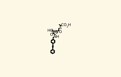 CC(SCC(=O)NC[C@H](NCc1ccc(C#Cc2ccccc2)cc1)C(=O)NO)C(=O)O